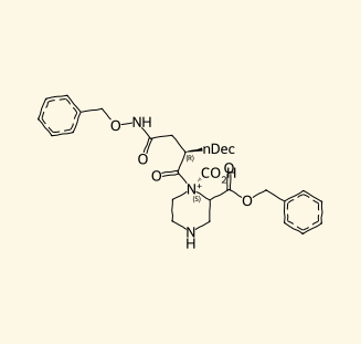 CCCCCCCCCC[C@H](CC(=O)NOCc1ccccc1)C(=O)[N@+]1(C(=O)O)CCNCC1C(=O)OCc1ccccc1